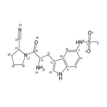 CS(=O)(=O)Nc1ccc2[nH]cc(CC(N)C(=O)N3CCCC3C#N)c2c1